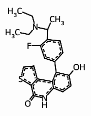 CCN(CC)C(C)c1ccc(-c2c(O)ccc3[nH]c(=O)c4sccc4c23)cc1F